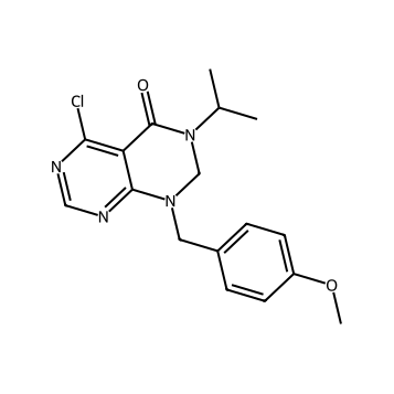 COc1ccc(CN2CN(C(C)C)C(=O)c3c(Cl)ncnc32)cc1